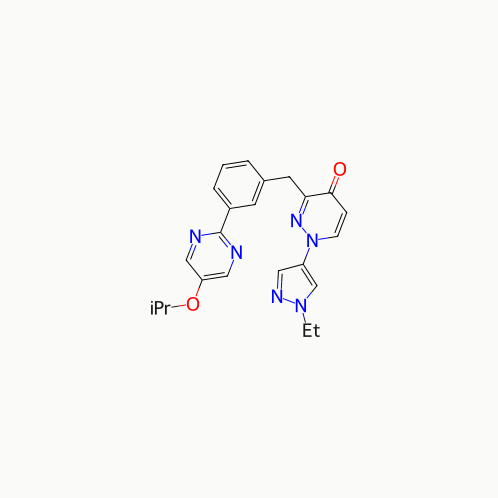 CCn1cc(-n2ccc(=O)c(Cc3cccc(-c4ncc(OC(C)C)cn4)c3)n2)cn1